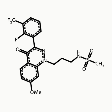 COc1ccc2c(=O)c(-c3cccc(C(F)(F)F)c3F)nn(CCCNS(C)(=O)=O)c2c1